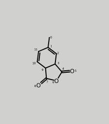 CC1=CC2C(=O)OC(=O)C2C=C1